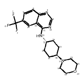 FC(F)(F)c1ccc2ncnc(N[C@H]3CC[C@H](N4CCOCC4)CC3)c2c1